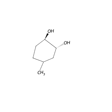 CC1CC[C@@H](O)[C@H](O)C1